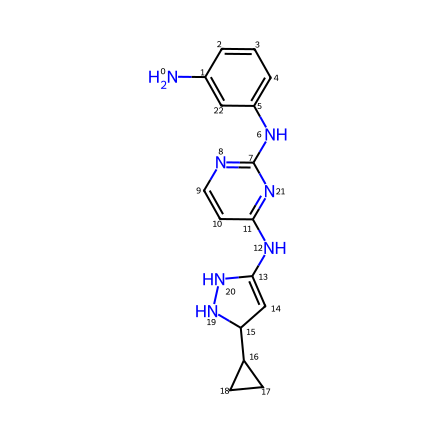 Nc1cccc(Nc2nccc(NC3=CC(C4CC4)NN3)n2)c1